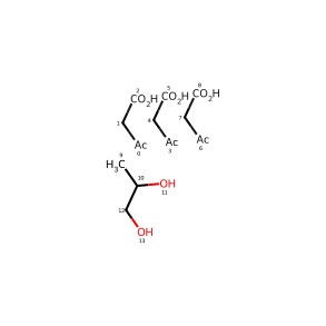 CC(=O)CC(=O)O.CC(=O)CC(=O)O.CC(=O)CC(=O)O.CC(O)CO